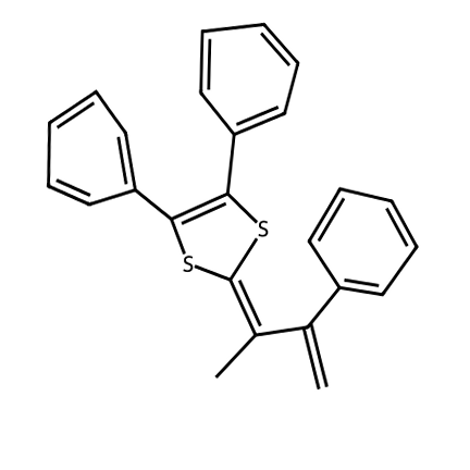 C=C(C(C)=C1SC(c2ccccc2)=C(c2ccccc2)S1)c1ccccc1